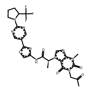 CC(=O)Cn1c(=O)c2c(ncn2[C@@H](C)C(=O)Nc2csc(-c3cnc(N4CCCC4C(F)(F)F)nc3)n2)n(C)c1=O